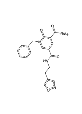 CNC(=O)c1cc(C(=O)NCCc2cnoc2)cn(Cc2ccccc2)c1=O